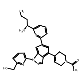 CCC[C@H](N)c1cccc(-c2cc(C3=CCN(C(C)=O)CC3)c3cnn(-c4cccc(CO)n4)c3c2)n1